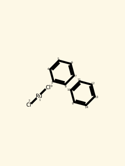 [Cl][Ru][Cl].c1ccccc1.c1ccccc1